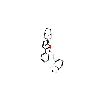 O=C(CCNCc1cccc2ncnn12)N1CC2CCC(C1)N2c1ccc(-c2ccccc2)cn1